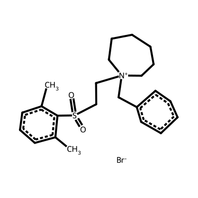 Cc1cccc(C)c1S(=O)(=O)CC[N+]1(Cc2ccccc2)CCCCCC1.[Br-]